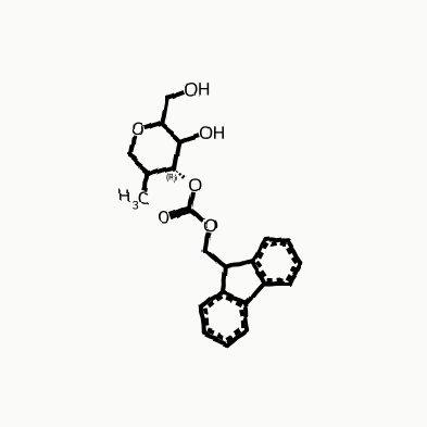 CC1COC(CO)C(O)[C@@H]1OC(=O)OCC1c2ccccc2-c2ccccc21